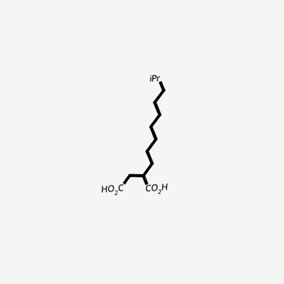 CC(C)CCCCCCCC(CC(=O)O)C(=O)O